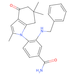 Cc1cc2c(n1-c1ccc(C(N)=O)cc1NCc1ccccc1)CC(C)(C)CC2=O